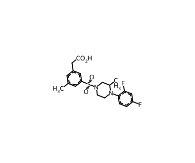 Cc1cc(CC(=O)O)cc(S(=O)(=O)N2CCN(c3ccc(F)cc3F)C(C)C2)c1